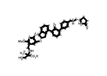 COc1nc(O[C@H]2CCc3c(-c4cccc(-c5ccc(CNC[C@@H]6CCC(=O)N6)cc5)c4Cl)cccc32)c(Cl)cc1CNC(C)(CO)C(=O)O